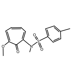 COc1ccccc(N(C)S(=O)(=O)c2ccc(C)cc2)c1=O